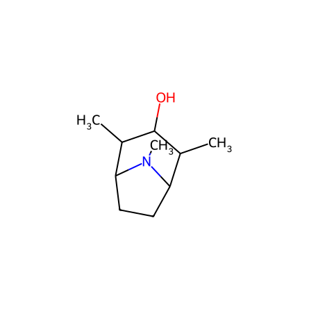 CC1C(O)C(C)C2CCC1N2C